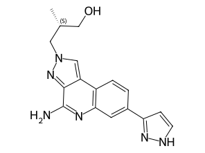 C[C@H](CO)Cn1cc2c(n1)c(N)nc1cc(-c3cc[nH]n3)ccc12